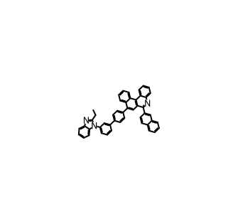 CCc1nc2ccccc2n1-c1cccc(-c2ccc(-c3cc4c(-c5ccc6ccccc6c5)nc5ccccc5c4c4ccccc34)cc2)c1